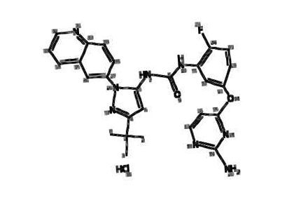 CC(C)(C)c1cc(NC(=O)Nc2cc(Oc3ccnc(N)n3)ccc2F)n(-c2ccc3ncccc3c2)n1.Cl